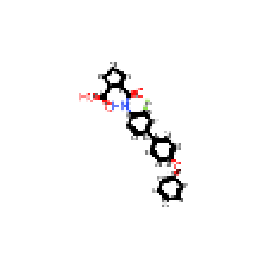 O=C(O)C1=C(C(=O)Nc2ccc(-c3ccc(Oc4ccccc4)cc3)cc2F)CCC1